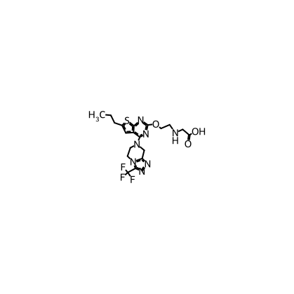 CCCc1cc2c(N3CCn4c(nnc4C(F)(F)F)C3)nc(OCCNCC(=O)O)nc2s1